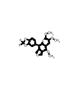 COc1cc2c(OC)c3cocc3c(-c3ccc4c(c3)OC(F)(F)O4)c2cc1OC